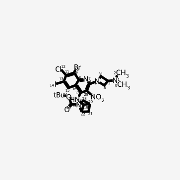 CN(C)C1CN(c2nc3c(Br)c(Cl)c(I)cc3c(NC3C4CC3N(C(=O)OC(C)(C)C)C4)c2[N+](=O)[O-])C1